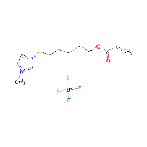 C=CC(=O)OCCCCCC[n+]1ccn(C)c1.F[B-](F)(F)F